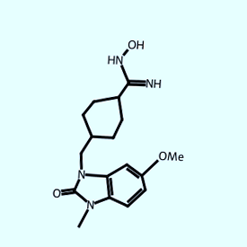 COc1ccc2c(c1)n(CC1CCC(C(=N)NO)CC1)c(=O)n2C